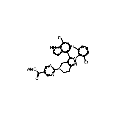 CCc1cccc(CC)c1-n1nc2c(c1-c1ccc(Cl)c3[nH]ccc13)CN(c1ncc(C(=O)OC)cn1)CC2